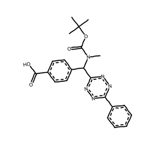 CN(C(=O)OC(C)(C)C)C(c1ccc(C(=O)O)cc1)c1nnc(-c2ccccc2)nn1